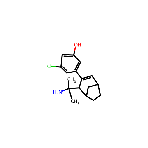 CC(C)(N)C1C(c2cc(O)cc(Cl)c2)=CC2CCC1C2